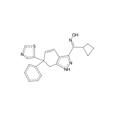 ON=C(c1n[nH]c2c1C=CC(c1ccccc1)(c1cncs1)C2)C1CCC1